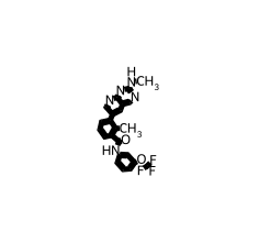 CNc1ncc2cc(-c3cccc(C(=O)Nc4cccc(OC(F)(F)F)c4)c3C)cnc2n1